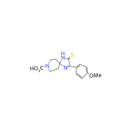 COc1ccc(C2=NC3(CCN(C(=O)O)CC3)NC2=S)cc1